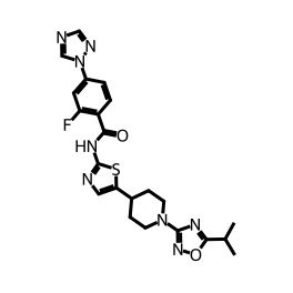 CC(C)c1nc(N2CCC(c3cnc(NC(=O)c4ccc(-n5cncn5)cc4F)s3)CC2)no1